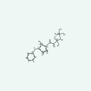 Cn1c(Cc2ccccc2)nnc1SSC(C)(C)CC(C)(C)C